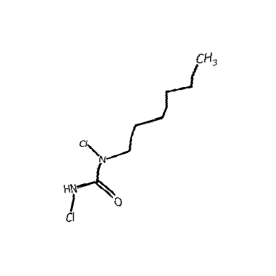 CCCCCCN(Cl)C(=O)NCl